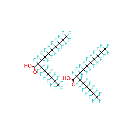 O=C(O)C(F)(C(F)(F)C(F)(F)C(F)(F)C(F)(F)C(F)(F)C(F)(F)F)C(F)(F)C(F)(F)C(F)(F)C(F)(F)C(F)(F)C(F)(F)C(F)(F)C(F)(F)F.O=C(O)C(F)(C(F)(F)C(F)(F)C(F)(F)C(F)(F)C(F)(F)C(F)(F)F)C(F)(F)C(F)(F)C(F)(F)C(F)(F)C(F)(F)C(F)(F)C(F)(F)C(F)(F)F